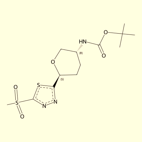 CC(C)(C)OC(=O)N[C@@H]1CC[C@@H](c2nnc(S(C)(=O)=O)s2)OC1